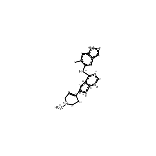 Cc1cc2[nH]ncc2cc1Nc1ncnc2[nH]c(C3=CCN(C(=O)O)CC3)cc12